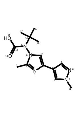 Cc1nc(-c2cnn(C)c2)cn1N(C(=O)O)C(C)(C)C